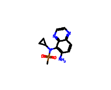 CS(=O)(=O)N(c1c(N)ccc2nccnc12)C1CC1